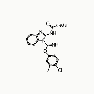 COC(=O)Nc1nc2ccccc2n1C(=N)Oc1ccc(Cl)c(C)c1